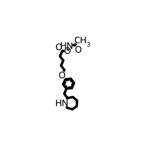 CC(=O)NOC(=O)CCCCOc1cccc(CC2CCCCCN2)c1